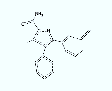 C=C/C=C(\C=C/C)n1nc(C(N)=O)c(C)c1-c1ccccc1